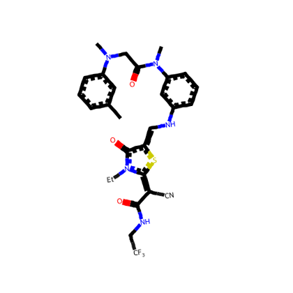 CCn1c(=C(C#N)C(=O)NCC(F)(F)F)sc(=CNc2cccc(N(C)C(=O)CN(C)c3cccc(C)c3)c2)c1=O